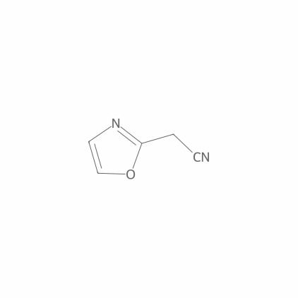 N#CCc1ncco1